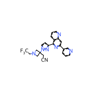 N#CCC1(n2ccc(-c3nc(-c4cccnc4)cc4ncccc34)n2)CN(CC(F)(F)F)C1